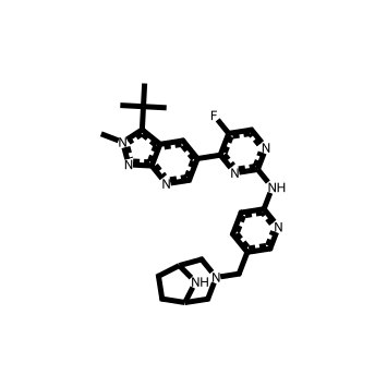 Cn1nc2ncc(-c3nc(Nc4ccc(CN5CC6CCC(C5)N6)cn4)ncc3F)cc2c1C(C)(C)C